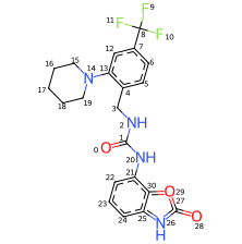 O=C(NCc1ccc(C(F)(F)F)cc1N1CCCCC1)Nc1cccc2[nH]c(=O)oc12